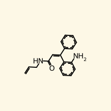 C=CCNC(=O)C=C(c1ccccc1)c1ccccc1N